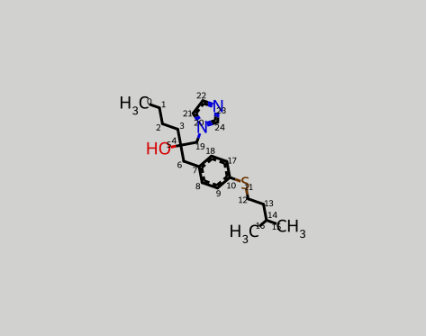 CCCCC(O)(Cc1ccc(SCCC(C)C)cc1)Cn1ccnc1